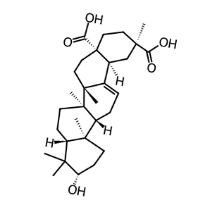 CC1(C)[C@@H](O)CC[C@]2(C)[C@H]3CC=C4[C@@H]5C[C@](C)(C(=O)O)CC[C@]5(C(=O)O)CC[C@@]4(C)[C@]3(C)CC[C@@H]12